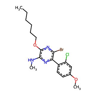 CCCCCCOc1nc(Br)c(-c2ccc(OC)cc2Cl)nc1NC